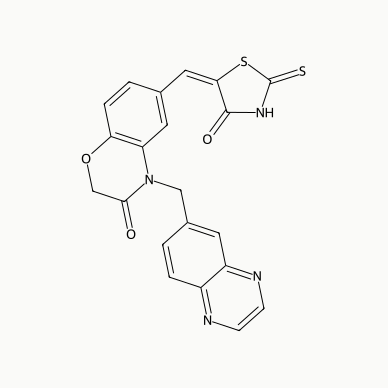 O=C1NC(=S)SC1=Cc1ccc2c(c1)N(Cc1ccc3nccnc3c1)C(=O)CO2